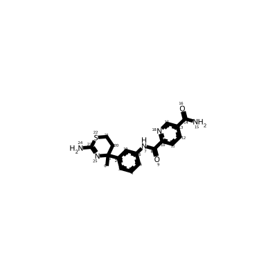 CC1(c2cccc(NC(=O)c3ccc(C(N)=O)cn3)c2)CCSC(N)=N1